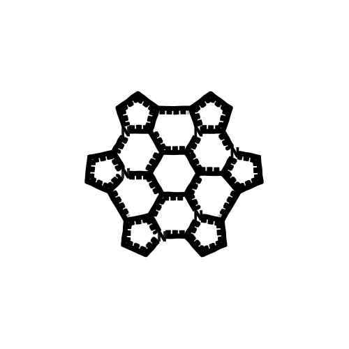 c1cn2c3c1c1ccc4n5ccc6c5c5c(c3c3c7c8c(ccn8c8ccc6n8c57)c5ccc2n53)n14